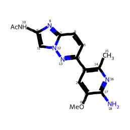 COc1cc(-c2ccc3nc(NC(C)=O)cn3n2)c(C)nc1N